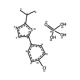 CC(C)c1nnc(-c2ccc(Cl)cc2)s1.O=P(O)(O)O